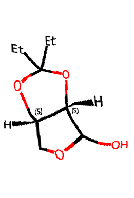 CCC1(CC)O[C@H]2COC(O)[C@H]2O1